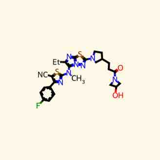 CCc1nc2sc(N3CCC(CCC(=O)N4CC(O)C4)C3)nn2c1N(C)c1nc(-c2ccc(F)cc2)c(C#N)s1